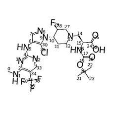 CNc1nc(Nc2cnn([C@H]3CCN(C[C@H](NC(=O)OC(C)(C)C)C(=O)O)C[C@@H]3F)c2Cl)ncc1C(F)(F)F